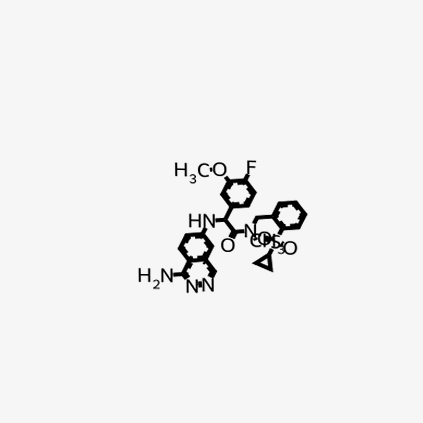 COc1cc(C(Nc2ccc3c(N)nncc3c2)C(=O)N(C)Cc2ccccc2S(=O)(=O)C2CC2)ccc1F